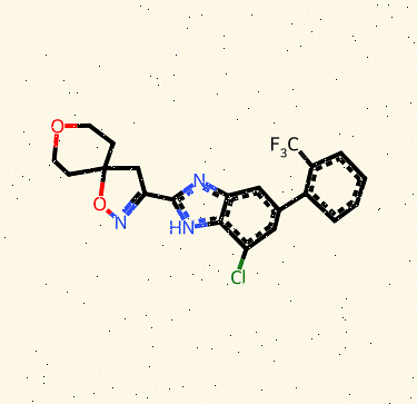 FC(F)(F)c1ccccc1-c1cc(Cl)c2[nH]c(C3=NOC4(CCOCC4)C3)nc2c1